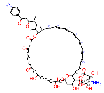 CC1/C=C/C=C/C=C/C=C/C=C/C=C/C=C/C(O[C@@H]2O[C@H](C)[C@@H](O)[C@H](N)[C@H]2O)CC2OC(O)(CC(O)CCCC(O)CC(=O)CCCC(=O)CC(=O)OC1C(C)CC(C)C(O)CC(=O)c1ccc(N)cc1)CC(O)C2C(=O)O